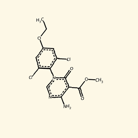 CCOc1cc(Cl)c(-n2cnc(N)c(C(=O)OC)c2=O)c(Cl)c1